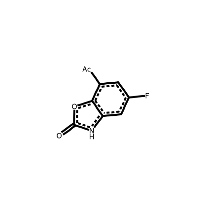 CC(=O)c1cc(F)cc2[nH]c(=O)oc12